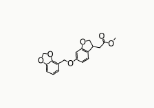 COC(=O)CC1COc2cc(OCc3cccc4c3OCO4)ccc21